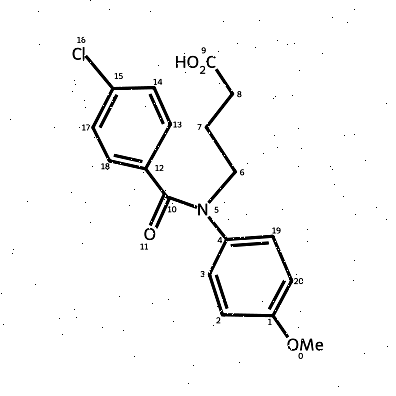 COc1ccc(N(CCCC(=O)O)C(=O)c2ccc(Cl)cc2)cc1